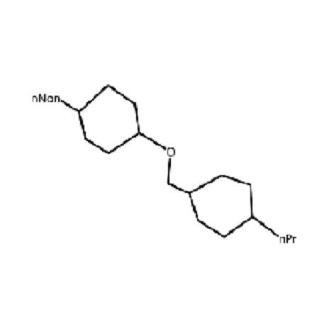 CCCCCCCCCC1CCC(OCC2CCC(CCC)CC2)CC1